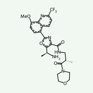 COc1ccc(-c2nc(C(=O)NC[C@H](C)C(=O)N3CCOCC3)c([C@H](C)N)o2)c2ccc(C(F)(F)F)nc12